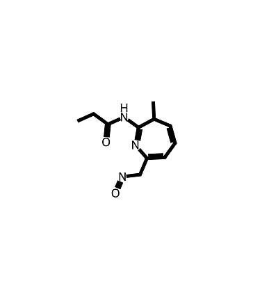 CCC(=O)NC1=NC(CN=O)=CC=CC1C